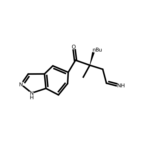 CCCC[C@](C)(CC=N)C(=O)c1ccc2[nH]ncc2c1